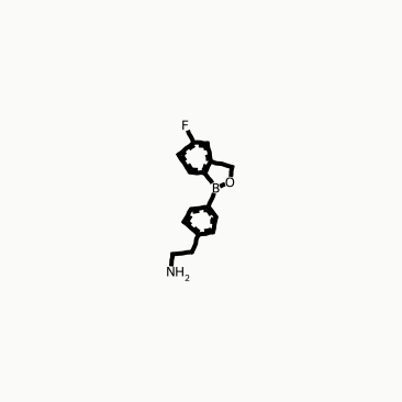 NCCc1ccc(B2OCc3cc(F)ccc32)cc1